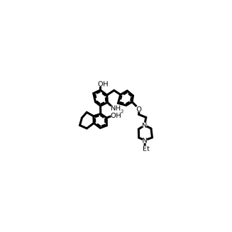 CCN1CCN(CCOc2ccc(Cc3c(O)ccc(-c4c(O)ccc5c4CCCC5)c3N)cc2)CC1